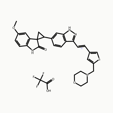 COc1ccc2c(c1)C1(CC1c1ccc3c(/C=C/c4csc(CN5CCOCC5)c4)n[nH]c3c1)C(=O)N2.O=C(O)C(F)(F)F